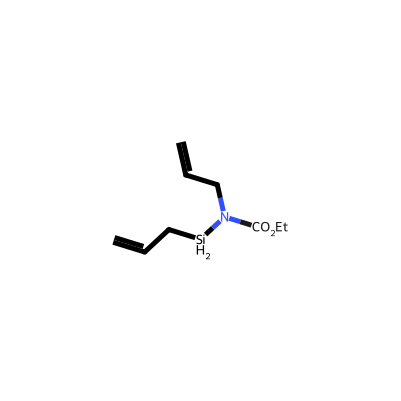 C=CC[SiH2]N(CC=C)C(=O)OCC